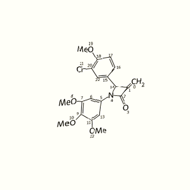 C=C1C(=O)N(c2cc(OC)c(OC)c(OC)c2)C1c1ccc(OC)c(Cl)c1